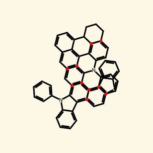 c1ccc(-n2c3ccccc3c3cc(-c4ccccc4N(c4ccccc4-c4cccc5cccc(C6CCCCC6)c45)c4ccccc4-c4cccc5sc6ccccc6c45)ccc32)cc1